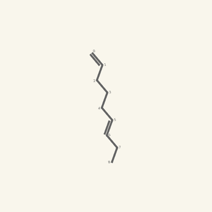 C=[C]CCCC=CCC